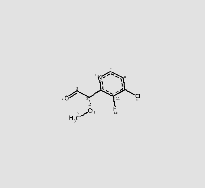 CO[C@H](C=O)c1nccc(Cl)c1F